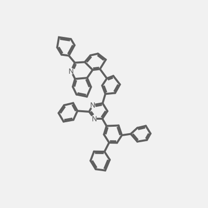 c1ccc(-c2cc(-c3ccccc3)cc(-c3cc(-c4cccc(-c5cccc6c(-c7ccccc7)nc7ccccc7c56)c4)nc(-c4ccccc4)n3)c2)cc1